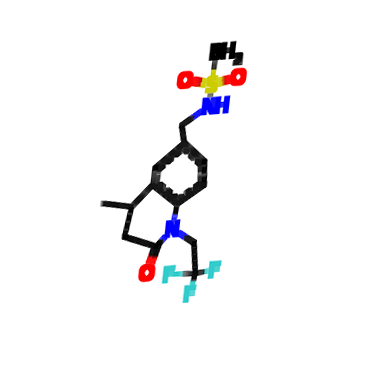 BS(=O)(=O)NCc1ccc2c(c1)C(C)CC(=O)N2CC(F)(F)F